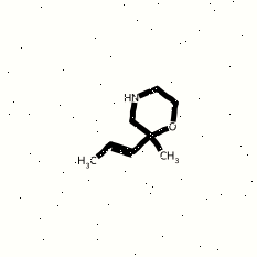 CC=CC1(C)CNCCO1